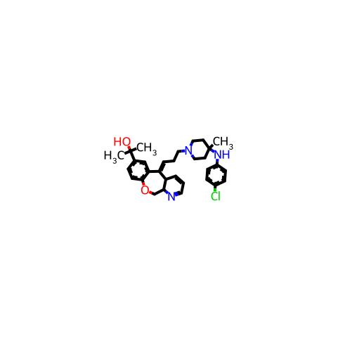 CC1(Nc2ccc(Cl)cc2)CCN(CC/C=C2/c3cc(C(C)(C)O)ccc3OCC3N=CC=CC23)CC1